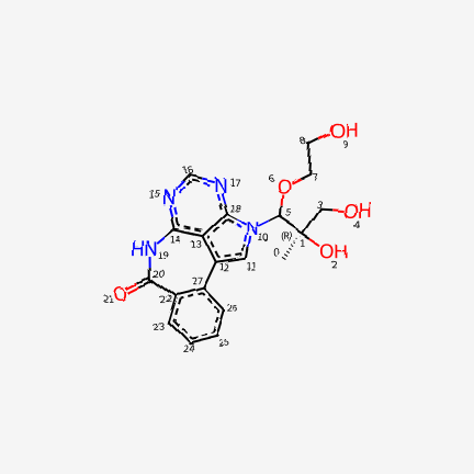 C[C@@](O)(CO)C(OCCO)n1cc2c3c(ncnc31)NC(=O)c1ccccc1-2